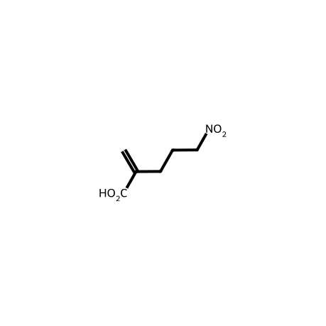 C=C(CCC[N+](=O)[O-])C(=O)O